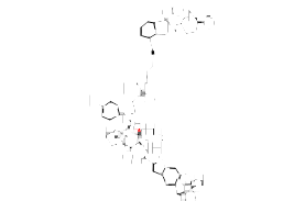 CC(C)(C)[C@H](NC(=O)c1cc2cc(C(F)(F)P(=O)(O)O)ccc2s1)C(=O)N1CCC[C@H]1C(=O)N(CCC(=O)NCCCC#Cc1cccc2c1CN(C1CCC(=O)NC1=O)C2=O)c1ccc(F)cc1